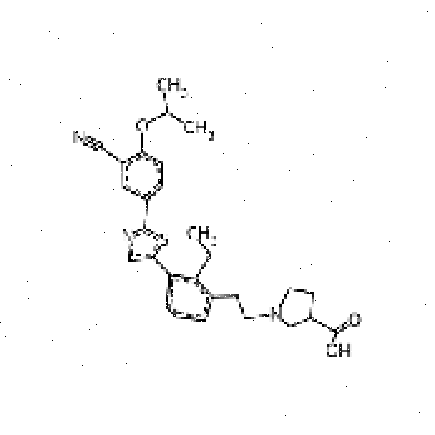 CCc1c(CCN2CCC(C(=O)O)C2)cccc1-c1cnc(-c2ccc(OC(C)C)c(C#N)c2)s1